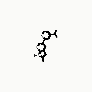 Cc1cc2cc(-c3cc(C(C)C)ccn3)cnc2[nH]1